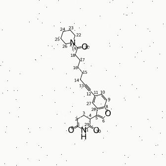 O=C1CCC(c2coc3ccc(C#CCCCCCC(=O)N4CCCCC4)cc23)C(=O)N1